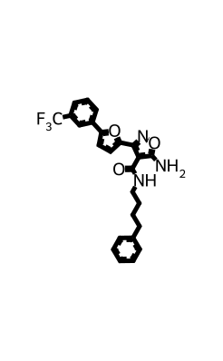 Nc1onc(-c2ccc(-c3cccc(C(F)(F)F)c3)o2)c1C(=O)NCCCCc1ccccc1